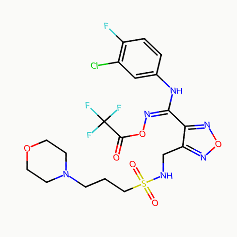 O=C(ON=C(Nc1ccc(F)c(Cl)c1)c1nonc1CNS(=O)(=O)CCCN1CCOCC1)C(F)(F)F